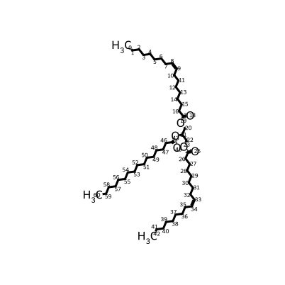 CCCCCCCC/C=C\CCCCCCCC(=O)OCC(COC(=O)CCCCCCC/C=C\CCCCCCCC)OC(=O)CCCCCCCCCCCCCCC